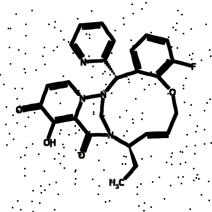 CC[C@@H]1/C=C/COc2c(F)cccc2[C@@H](c2ccccn2)N2CN1C(=O)c1c(O)c(=O)ccn12